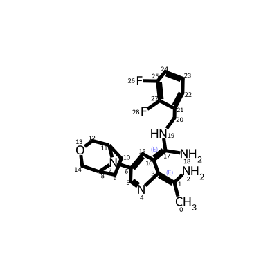 C/C(N)=c1\ncc(N2C3CCC2COC3)c\c1=C(\N)NCc1cccc(F)c1F